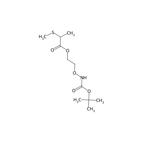 CSC(C)C(=O)OCCONC(=O)OC(C)(C)C